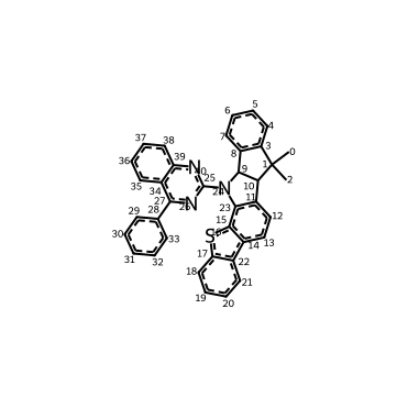 CC1(C)c2ccccc2C2C1c1ccc3c(sc4ccccc43)c1N2c1nc(-c2ccccc2)c2ccccc2n1